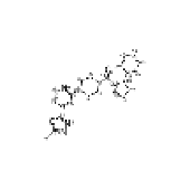 Cc1nnc(-c2cc(N3CCC(C(=O)N4N=CCC4c4ccccc4)CC3)ncn2)o1